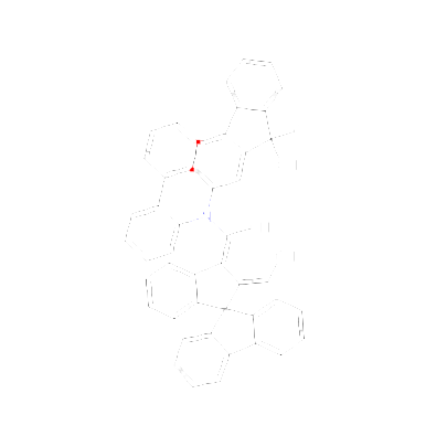 C/C=C1\C(=C(/C)N(c2ccc3c(c2)C(C)(C)c2ccccc2-3)c2ccccc2-c2ccccc2)c2ccccc2C12c1ccccc1-c1ccccc12